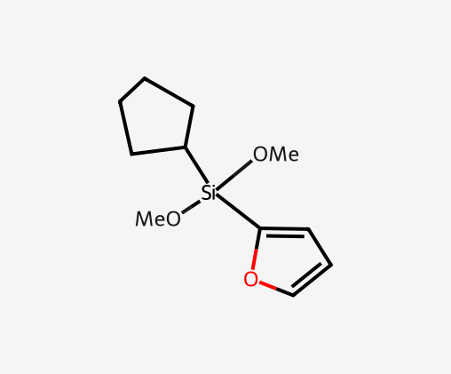 CO[Si](OC)(c1ccco1)C1CCCC1